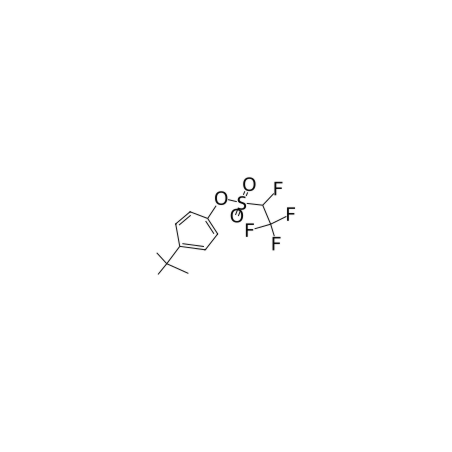 CC(C)(C)c1ccc(OS(=O)(=O)C(F)C(F)(F)F)cc1